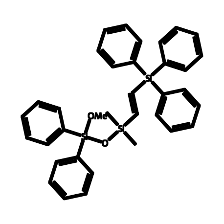 CO[Si](O[Si](C)(C)C=C[Si](c1ccccc1)(c1ccccc1)c1ccccc1)(c1ccccc1)c1ccccc1